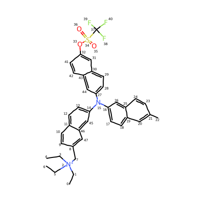 CC[N+](CC)(CC)Cc1ccc2ccc(N(c3ccc4cc(C)ccc4c3)c3ccc4cc(OS(=O)(=O)C(F)(F)F)ccc4c3)cc2c1